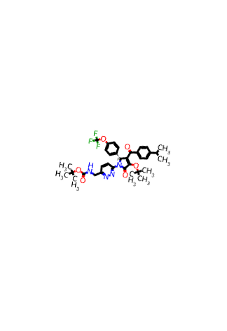 CC(C)c1ccc(C(=O)C2=C(OC(C)(C)C)C(=O)N(c3ccc(CNC(=O)OC(C)(C)C)nn3)[C@@H]2c2ccc(OC(F)(F)F)cc2)cc1